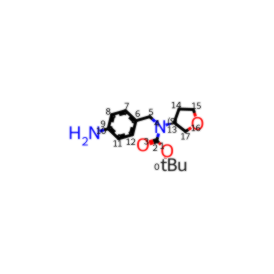 CC(C)(C)OC(=O)N(Cc1ccc(N)cc1)[C@H]1CCOC1